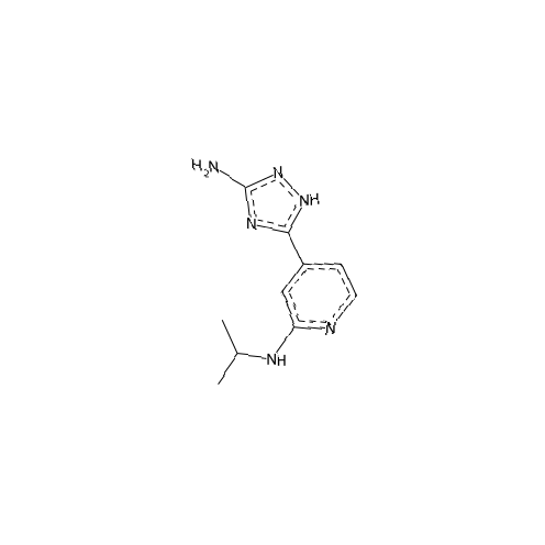 CC(C)Nc1cc(-c2nc(N)n[nH]2)ccn1